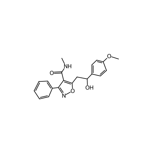 CNC(=O)c1c(-c2ccccc2)noc1CC(O)c1ccc(OC)cc1